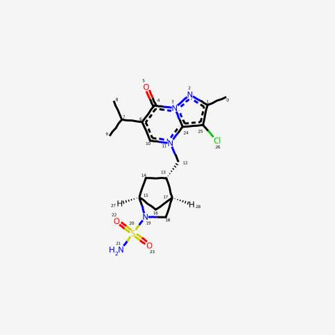 Cc1nn2c(=O)c(C(C)C)cn(C[C@H]3C[C@H]4C[C@@H]3CN4S(N)(=O)=O)c2c1Cl